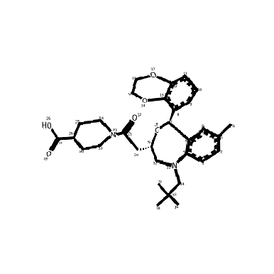 Cc1ccc2c(c1)[C@H](c1cccc3c1OCCO3)O[C@@H](CC(=O)N1CCC(C(=O)O)CC1)CN2CC(C)(C)C